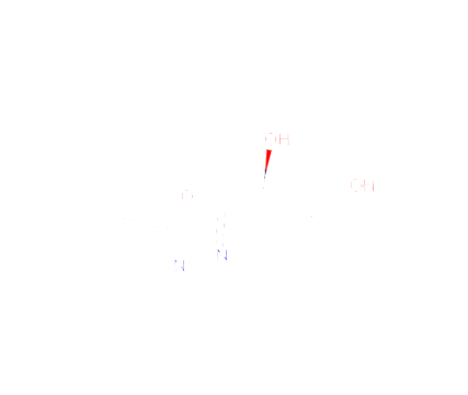 Cc1nnc([C@@H](O)CO)o1